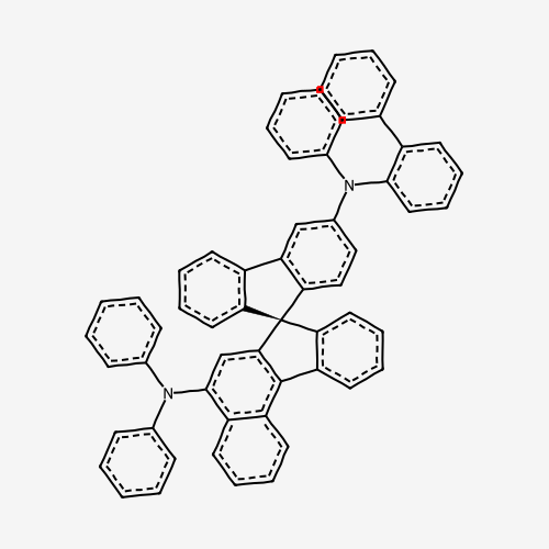 c1ccc(-c2ccccc2N(c2ccccc2)c2ccc3c(c2)-c2ccccc2[C@]32c3ccccc3-c3c2cc(N(c2ccccc2)c2ccccc2)c2ccccc32)cc1